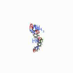 CNC(=O)c1ncn([C@H]2CC[C@H](C(=O)Nc3cc(N4CCOCC4)ccc3Cl)CC2)c1C(N)=O